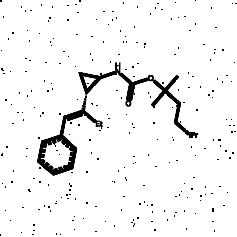 CC/C(=C\c1ccccc1)[C@@H]1CC1NC(=O)OC(C)(C)CCC(C)C